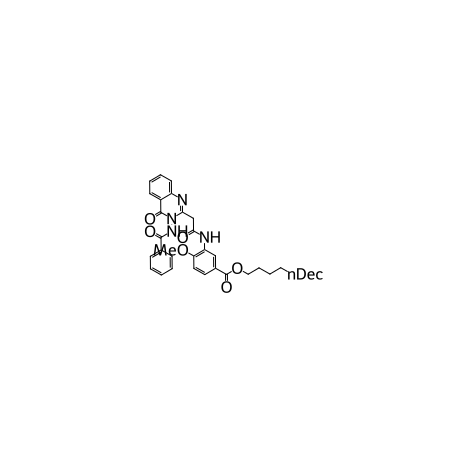 CCCCCCCCCCCCCCOC(=O)c1ccc(OC)c(NC(=O)Cc2nc3ccccc3c(=O)n2NC(=O)c2ccccc2)c1